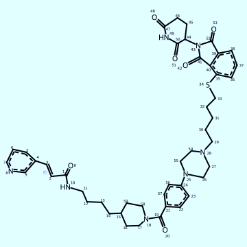 O=C(/C=C/c1cccnc1)NCCCCC1CCN(C(=O)c2ccc(N3CCN(CCCCCSc4cccc5c4C(=O)N(C4CCC(=O)NC4=O)C5=O)CC3)cc2)CC1